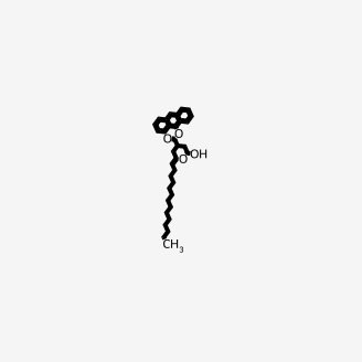 CCCCCCCCCCCCCC=CCC(CC(=O)O)C(=O)Oc1c2ccccc2cc2ccccc12